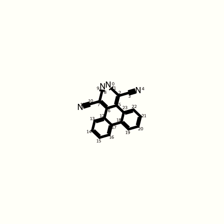 N#CC(C#N)=c1c(=C(C#N)C#N)c2ccccc2c2ccccc12